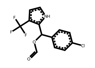 O=COC(c1ccc(Cl)cc1)c1[nH]ccc1C(F)(F)F